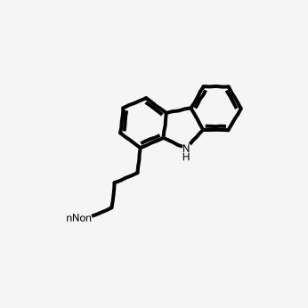 CCCCCCCCCCCCc1cccc2c1[nH]c1ccccc12